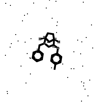 Cc1ccc(O[C@H]2CN(Cc3ccccc3)[C@@H]3CC[C@H]2C3)cc1